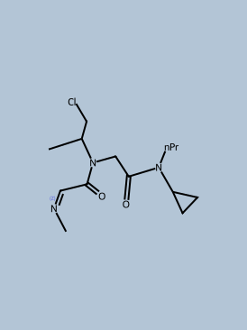 CCCN(C(=O)CN(C(=O)/C=N\C)C(C)CCl)C1CC1